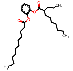 CCCCCCCCCCC(=O)Oc1ccccc1OC(=O)C(CCC)CCCCCCC